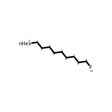 CCCCCCCCC[CH]CCCCCF